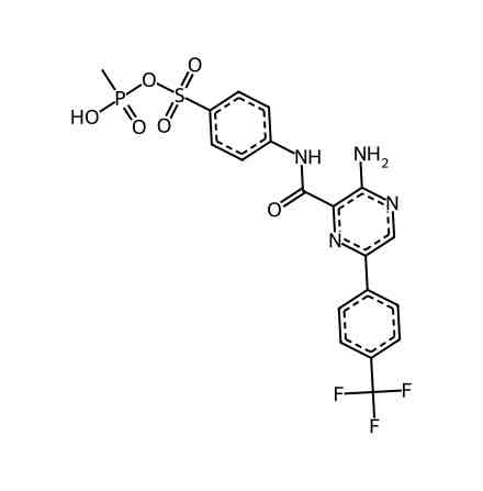 CP(=O)(O)OS(=O)(=O)c1ccc(NC(=O)c2nc(-c3ccc(C(F)(F)F)cc3)cnc2N)cc1